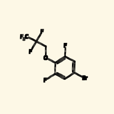 Fc1cc(Br)cc(F)c1OCC(F)(F)C(F)(F)F